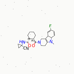 CN1C2=C(CN(C(=O)[C@@H]3CCCC[C@H]3C(=O)NC3(C#N)CC3)CC2)C2C=C(F)C=CC21